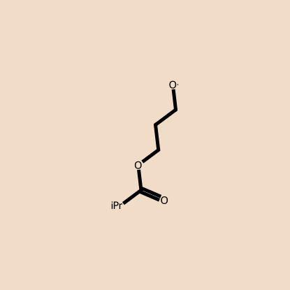 CC(C)C(=O)OCCC[O]